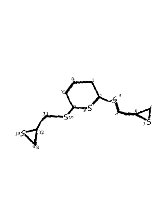 C1CC(SCC2CS2)SC(SCC2CS2)C1